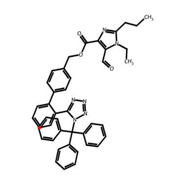 CCCc1nc(C(=O)OCc2ccc(-c3ccccc3-c3nnnn3C(c3ccccc3)(c3ccccc3)c3ccccc3)cc2)c(C=O)n1CC